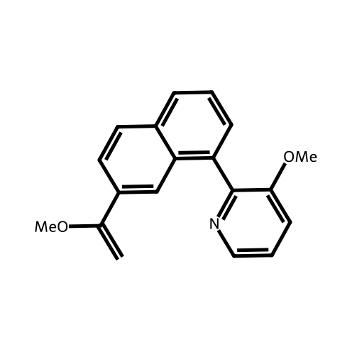 C=C(OC)c1ccc2cccc(-c3ncccc3OC)c2c1